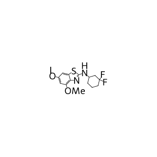 COc1cc(OI)cc2sc(NC3CCCC(F)(F)C3)nc12